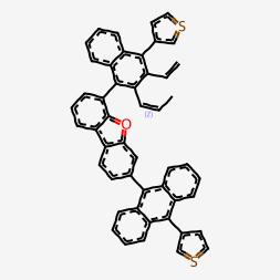 C=Cc1c(/C=C\C)c(-c2cccc3c2oc2cc(-c4c5ccccc5c(-c5ccsc5)c5ccccc45)ccc23)c2ccccc2c1-c1ccsc1